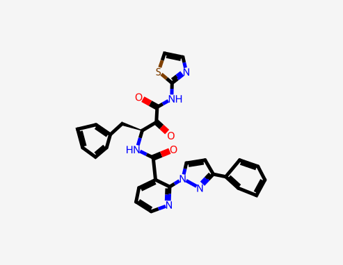 O=C(Nc1nccs1)C(=O)[C@H](Cc1ccccc1)NC(=O)c1cccnc1-n1ccc(-c2ccccc2)n1